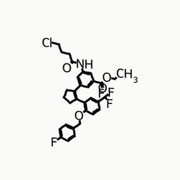 CCOC(=O)c1cc(NC(=O)CCCCl)cc(C2=C(c3cc(C(F)(F)F)ccc3OCc3ccc(F)cc3)CCC2)c1